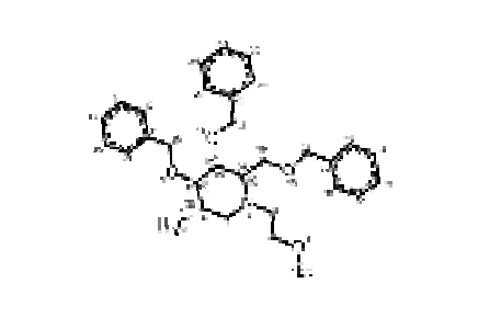 CCOCCN1C[C@H](C)[C@@H](OCc2ccccc2)[C@H](OCc2ccccc2)[C@H]1COCc1ccccc1